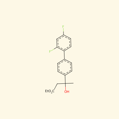 CCOC(=O)CC(C)(O)c1ccc(-c2ccc(F)cc2F)cc1